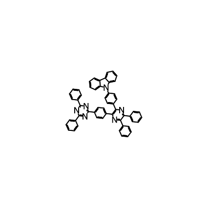 c1ccc(-c2nc(-c3ccccc3)nc(-c3ccc(-c4nc(-c5ccccc5)c(-c5ccccc5)nc4-c4ccc(-n5c6ccccc6c6ccccc65)cc4)cc3)n2)cc1